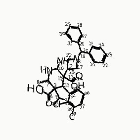 CC(C)C1(C(=O)O)C(C)NC(N)C(C(=O)O)(C2CN(C(c3ccccc3)c3ccccc3)C2)C1c1cccc(Cl)c1Cl